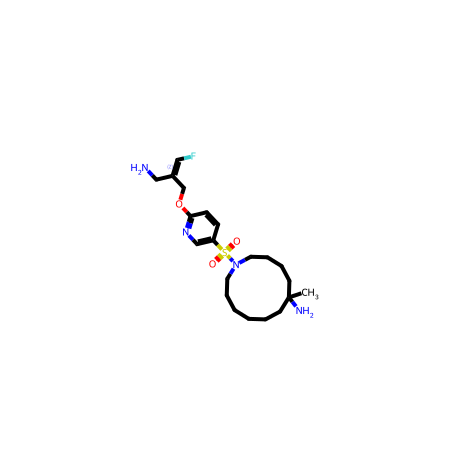 CC1(N)CCCCCCN(S(=O)(=O)c2ccc(OC/C(=C\F)CN)nc2)CCCC1